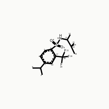 CC(C)c1ccc(S(=O)(=O)NC(C)C(C)(C)C)c(C(F)(F)F)c1